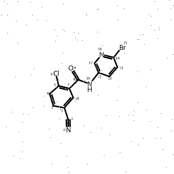 N#Cc1ccc(Cl)c(C(=O)Nc2ccc(Br)nc2)c1